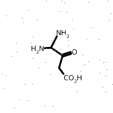 NC(N)C(=O)CC(=O)O